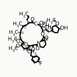 C=CC[C@@H]1/C=C(\C)C[C@H](C)C[C@H](OC)[C@H]2O[C@@](NCCc3ccc(F)cc3)(C(=O)C(=O)N3CCCC[C@H]3C(=O)O[C@H](/C(C)=C/[C@@H]3CC[C@@H](O)[C@H](OC)C3)[C@H](C)[C@@H](O)CC1=O)[C@H](C)C[C@@H]2OC